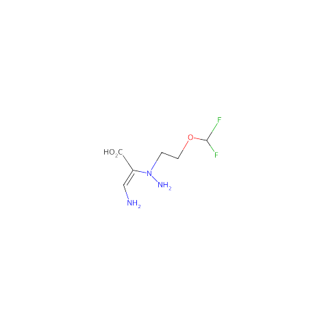 N/C=C(/C(=O)O)N(N)CCOC(F)F